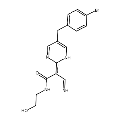 N=C/C(C(=O)NCCO)=C1/N=CC(Cc2ccc(Br)cc2)=CN1